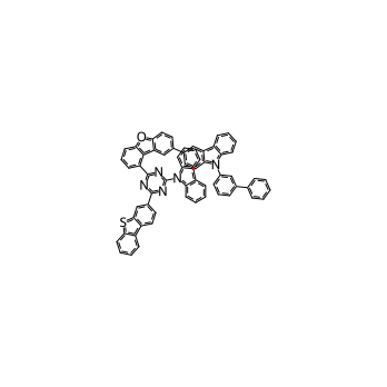 c1ccc(-c2cccc(-n3c4ccccc4c4cc(-c5ccc6oc7cccc(-c8nc(-c9ccc%10c(c9)sc9ccccc9%10)nc(-n9c%10ccccc%10c%10ccccc%109)n8)c7c6c5)ccc43)c2)cc1